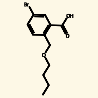 CCCCOCc1ccc(Br)cc1C(=O)O